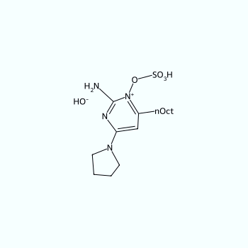 CCCCCCCCc1cc(N2CCCC2)nc(N)[n+]1OS(=O)(=O)O.[OH-]